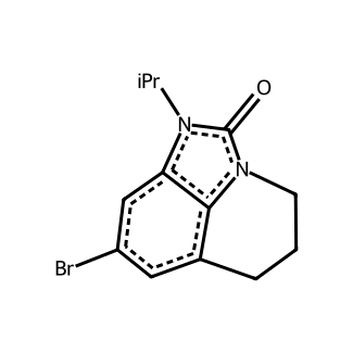 CC(C)n1c(=O)n2c3c(cc(Br)cc31)CCC2